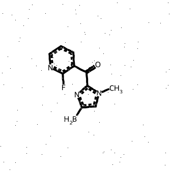 Bc1cn(C)c(C(=O)c2cccnc2F)n1